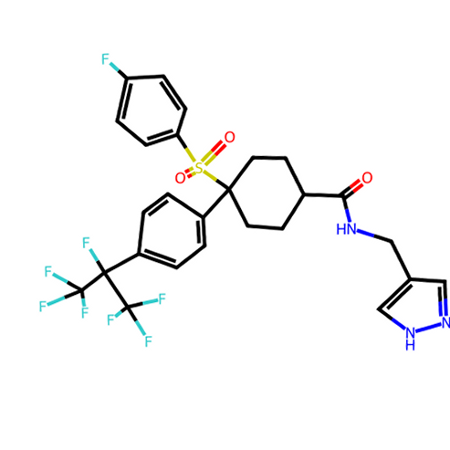 O=C(NCc1cn[nH]c1)C1CCC(c2ccc(C(F)(C(F)(F)F)C(F)(F)F)cc2)(S(=O)(=O)c2ccc(F)cc2)CC1